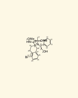 CONC(=O)[C@]1(N([C@H](CO)c2ccccc2)C(C)(C)OC)CCc2c(Br)cccc2C1